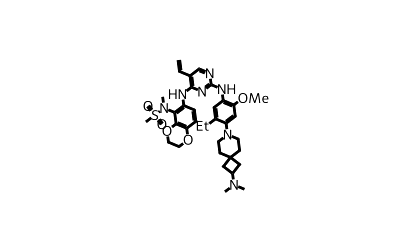 C=Cc1cnc(Nc2cc(CC)c(N3CCC4(CC3)CC(N(C)C)C4)cc2OC)nc1Nc1ccc2c(c1N(C)S(C)(=O)=O)OCCO2